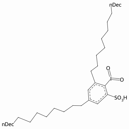 CCCCCCCCCCCCCCCCCCc1cc(CCCCCCCCCCCCCCCCCC)c(I(=O)=O)c(S(=O)(=O)O)c1